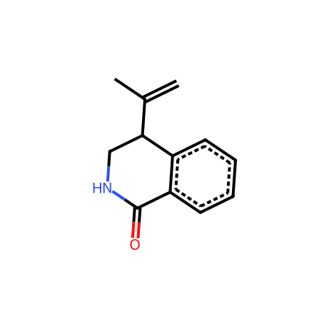 C=C(C)C1CNC(=O)c2ccccc21